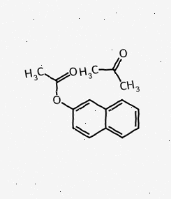 CC(=O)Oc1ccc2ccccc2c1.CC(C)=O